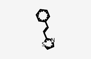 C(=C\c1nccs1)/c1ccccc1